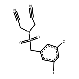 N#CCN(CC#N)S(=O)(=O)Cc1cc(Cl)cc(I)c1